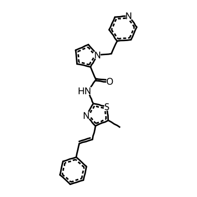 Cc1sc(NC(=O)c2cccn2Cc2ccncc2)nc1/C=C/c1ccccc1